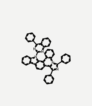 c1ccc(-c2nc(-n3c4ccccc4c4ccc5c(c6ccccc6n6c(-c7ccccc7)nc(-c7ccccc7)c56)c43)nc3ccccc23)cc1